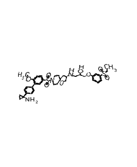 CCS(=O)(=O)c1cccc(OCC(O)CN[C@H]2COC3(CCN(S(=O)(=O)c4ccc(OC)c(-c5ccc(C6(N)CC6)cc5)c4)CC3)C2)c1